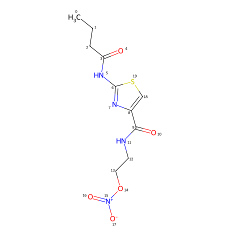 CCCC(=O)Nc1nc(C(=O)NCCO[N+](=O)[O-])cs1